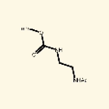 CCCOC(=O)NCCNC(C)=O